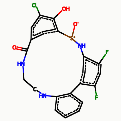 O=C1NCCNc2ccccc2-c2cc(c(F)cc2F)N[S+]([O-])c2cc1cc(Cl)c2O